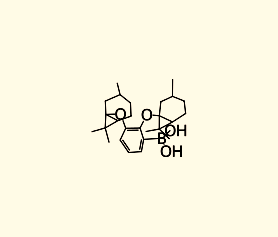 CC1CCC2C(C)(C)C2(Oc2cccc(B(O)O)c2OC23CC(C)CCC2C3(C)C)C1